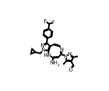 Cc1nn(-c2cc(N)[nH]c3c(ccn2)c(-c2ccc(C(F)F)cc2)nn3CC2CC2)c(C)c1C=O